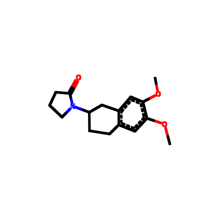 COc1cc2c(cc1OC)CC(N1CCCC1=O)CC2